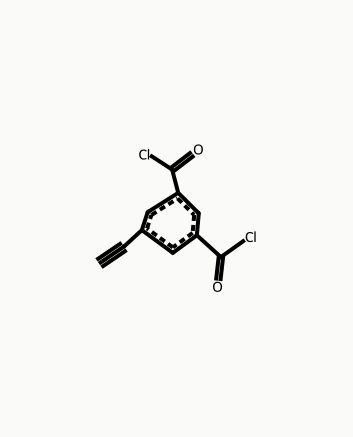 C#Cc1cc(C(=O)Cl)cc(C(=O)Cl)c1